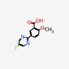 COc1ccc(-c2ncc(F)cn2)cc1C(=O)O